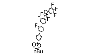 CCCCC1COC(c2ccc(-c3ccc(-c4cc(F)c(C(F)(F)Oc5cc(F)c(F)c(F)c5)c(F)c4)c(F)c3)cc2)OC1